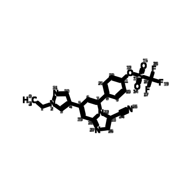 CCn1cc(-c2cc(-c3ccc(OS(=O)(=O)C(F)(F)F)cc3)n3c(C#N)cnc3c2)cn1